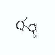 Oc1cc(-c2c(F)cccc2F)cnn1